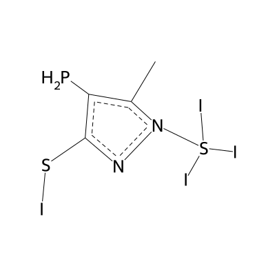 Cc1c(P)c(SI)nn1S(I)(I)I